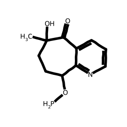 CC1(O)CCC(OP)c2ncccc2C1=O